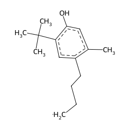 [CH2]CCCc1cc(C(C)(C)C)c(O)cc1C